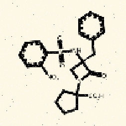 O=C(O)C1(N2C[C@](Cc3ccccc3)(NS(=O)(=O)c3ccccc3[N+](=O)[O-])C2=O)CCCC1